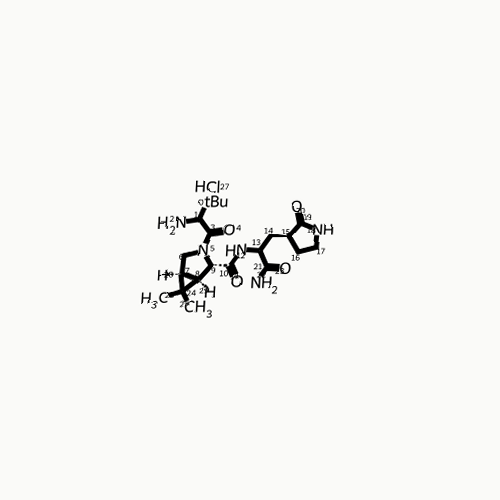 CC(C)(C)C(N)C(=O)N1C[C@H]2[C@@H]([C@H]1C(=O)NC(C[C@@H]1CCNC1=O)C(N)=O)C2(C)C.Cl